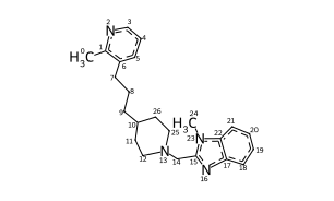 Cc1ncccc1CCCC1CCN(Cc2nc3ccccc3n2C)CC1